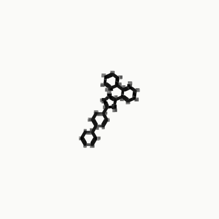 c1ccc(-c2ccc(-c3nnc(-c4cccnc4-c4ccccn4)o3)cc2)cc1